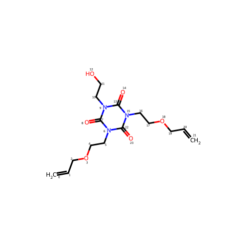 C=CCOCCn1c(=O)n(CCO)c(=O)n(CCOCC=C)c1=O